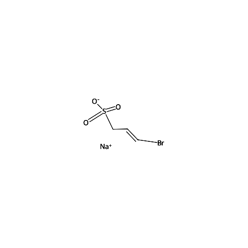 O=S(=O)([O-])CC=CBr.[Na+]